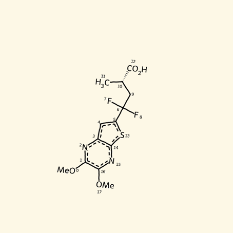 COc1nc2cc(C(F)(F)C[C@H](C)C(=O)O)sc2nc1OC